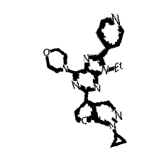 CCn1c(-c2ccncc2)nc2c(N3CCOCC3)nc(-c3cccc4c3cnn4C3CC3)nc21